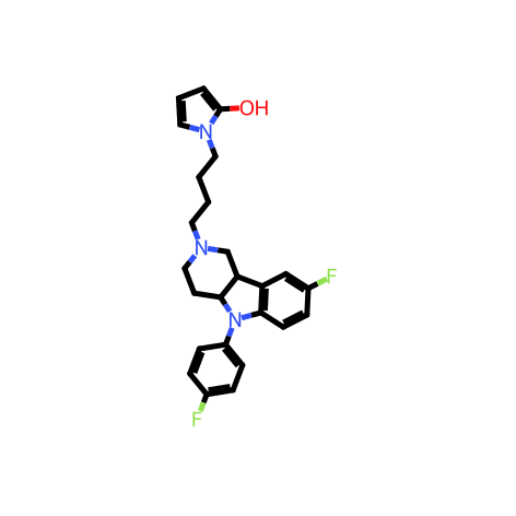 Oc1cccn1CCCCN1CCC2C(C1)c1cc(F)ccc1N2c1ccc(F)cc1